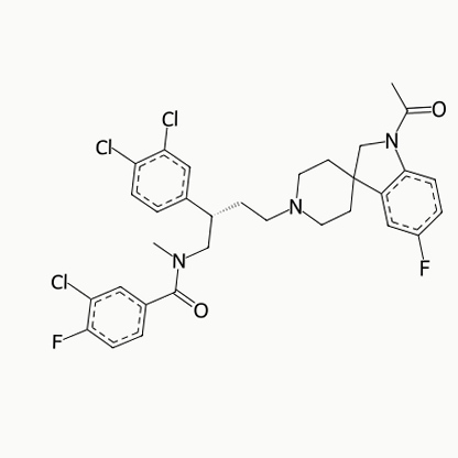 CC(=O)N1CC2(CCN(CC[C@H](CN(C)C(=O)c3ccc(F)c(Cl)c3)c3ccc(Cl)c(Cl)c3)CC2)c2cc(F)ccc21